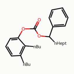 CCCCCCCC(OC(=O)Oc1cccc(CCCC)c1CCCC)c1ccccc1